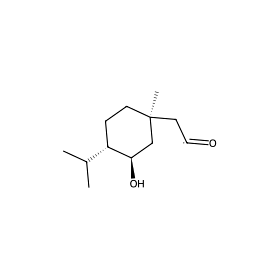 CC(C)[C@@H]1CC[C@@](C)(C[C]=O)C[C@H]1O